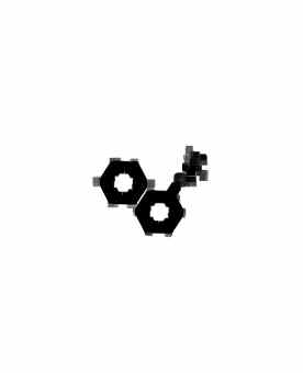 Oc1ccccc1.S.[Zn].c1ccccc1